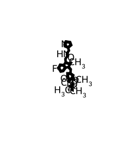 COc1cc(/C=C2/C(C)=C(CC(=O)NCc3cccnc3)c3cc(F)ccc32)cc(OC)c1SC(=O)N(C)C